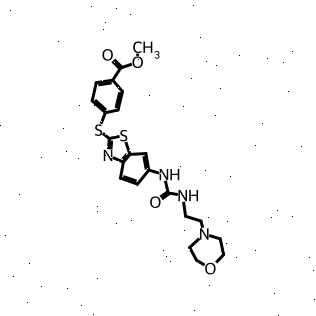 COC(=O)c1ccc(Sc2nc3ccc(NC(=O)NCCN4CCOCC4)cc3s2)cc1